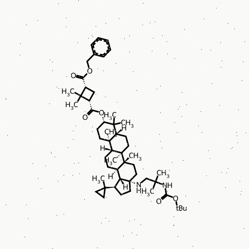 CC(C)(CN[C@]12CC[C@@H](C3(C)CC3)[C@@H]1[C@H]1CC[C@@H]3[C@@]4(C)CC[C@H](OC(=O)[C@H]5C[C@@H](C(=O)OCc6ccccc6)C5(C)C)C(C)(C)[C@@H]4CC[C@@]3(C)[C@]1(C)CC2)NC(=O)OC(C)(C)C